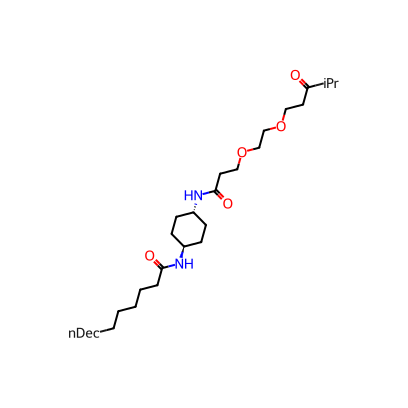 CCCCCCCCCCCCCCCC(=O)N[C@H]1CC[C@H](NC(=O)CCOCCOCCC(=O)C(C)C)CC1